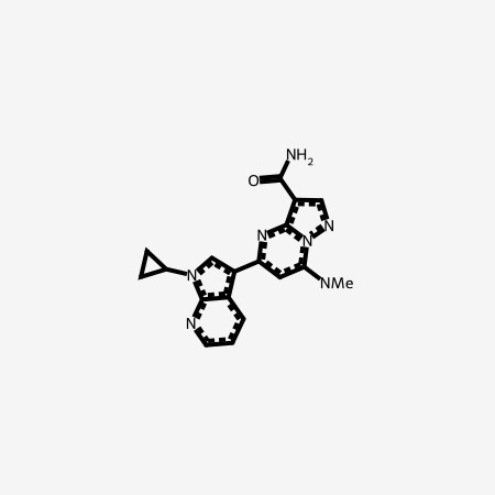 CNc1cc(-c2cn(C3CC3)c3ncccc23)nc2c(C(N)=O)cnn12